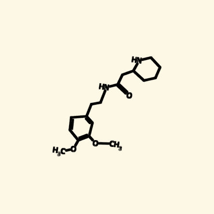 COc1ccc(CCNC(=O)CC2CCCCN2)cc1OC